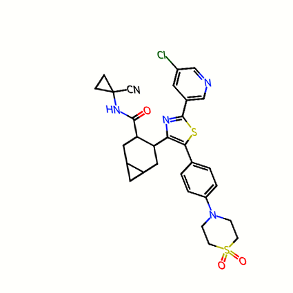 N#CC1(NC(=O)C2CC3CC3CC2c2nc(-c3cncc(Cl)c3)sc2-c2ccc(N3CCS(=O)(=O)CC3)cc2)CC1